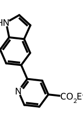 CCOC(=O)c1ccnc(-c2ccc3[nH]ccc3c2)c1